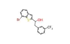 OC(Cc1cccc(C(F)(F)F)c1)c1cc2cccc(Br)c2s1